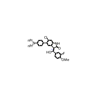 CCCN(CCC)c1ccc(-c2cc3c(cc2Cl)NC(=O)/C3=C(/O)c2ccc(OC)c(F)c2)cc1